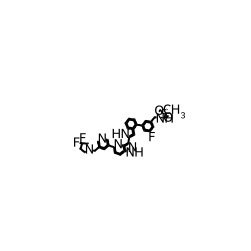 CS(=O)(=O)NCc1cc(F)cc(-c2cccc3[nH]c(-c4n[nH]c5ccc(-c6cncc(CN7CCC(F)(F)C7)c6)nc45)cc23)c1